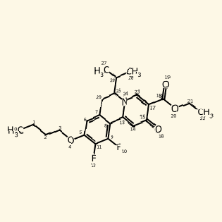 CCCCOc1cc2c(c(F)c1F)-c1cc(=O)c(C(=O)OCC)cn1C(C(C)C)C2